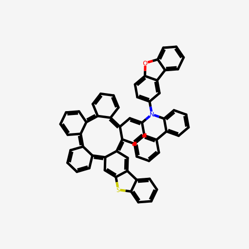 c1ccc(-c2ccccc2N(c2ccc3oc4ccccc4c3c2)c2ccc3c(c2)c2ccccc2c2ccccc2c2ccccc2c2cc4sc5ccccc5c4cc32)cc1